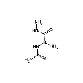 NNC(=O)N(N)NC(N)=S